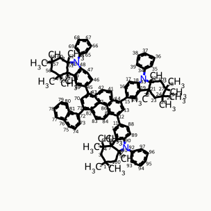 CC1(C)CC(C)(C)C2(C)c3cc(-c4cc(-c5ccc6c(c5)C5(C)CC(C)(C)C(C)(C)CC5(C)N6c5ccccc5)c5ccc6c(-c7ccc8c(c7)C7(C)C(C)(C)CC(C)(C)CC7(C)N8c7ccccc7)cc(-c7cccc8ccccc78)c7ccc4c5c67)ccc3N(c3ccccc3)C2(C)C1